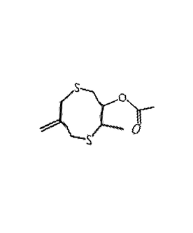 C=C1CSCC(OC(C)=O)C(C)SC1